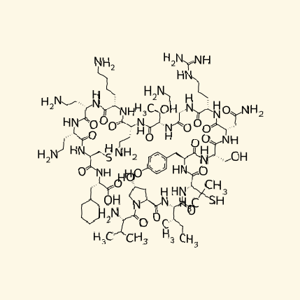 CC[C@H](C)[C@H](NC(=O)[C@@H]1C[C@@H](O)CN1C(=O)[C@@H](N)C(C)C)C(=O)N[C@H](C(=O)N[C@@H](Cc1ccc(O)cc1)C(=O)N[C@@H](CO)C(=O)N[C@@H](CC(N)=O)C(=O)N[C@@H](CCCNC(=N)N)C(=O)N[C@@H](CCN)C(=O)N[C@H](C(=O)N[C@H](CCN)C(=O)N[C@@H](CCCCN)C(=O)N[C@@H](CCN)C(=O)N[C@@H](CCN)C(=O)N[C@@H](CS)C(=O)N[C@@H](CC1CCCCC1)C(=O)O)[C@@H](C)O)C(C)(C)S